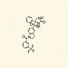 O=C1NCC(c2ccccc2)(S(=O)(=O)c2ccc3c(c2)CCN3C(=O)c2cccc(C(F)(F)F)c2)N1